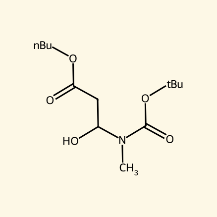 CCCCOC(=O)CC(O)N(C)C(=O)OC(C)(C)C